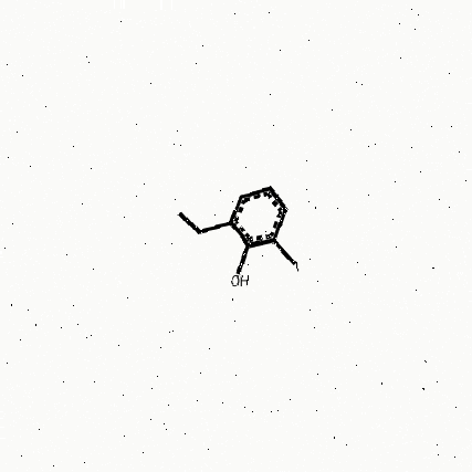 CCc1cccc(I)c1O